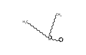 CCCCCCCCCCCCCCc1nc(CCCc2ccccc2)cn1CCCCCCCCCCCC